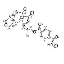 CCNC(=O)c1ccc(C(=O)OC[C@H](C)Cn2nc(CC)c3c2CC2(CCOCC2)CNC3=O)cc1